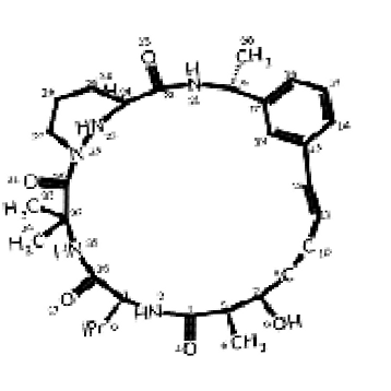 CC(C)[C@@H]1NC(=O)[C@H](C)C(O)CC/C=C/c2cccc(c2)[C@@H](C)NC(=O)[C@@H]2CCCN(N2)C(=O)C(C)(C)NC1=O